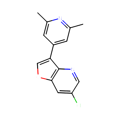 Cc1cc(-c2coc3cc(Cl)cnc23)cc(C)n1